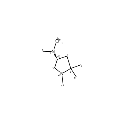 CN([C@@H]1CN(C)C(C)(C)C1)C(F)(F)F